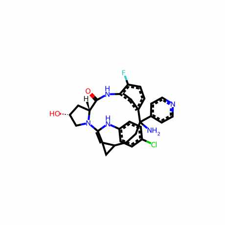 NC1(c2ccncc2)CCC2C/C2=C(/Nc2ccc(Cl)cc2)N2C[C@H](O)C[C@@H]2C(=O)Nc2cc1ccc2F